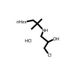 CCCCCCCC(C)(C)NCC(O)CCl.Cl